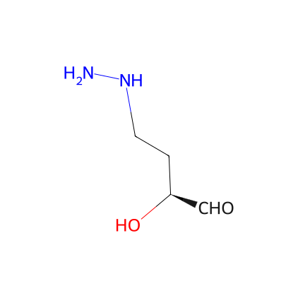 NNCC[C@H](O)C=O